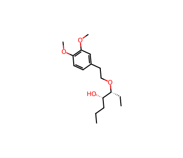 CCC[C@H](O)[C@@H](CC)OCCc1ccc(OC)c(OC)c1